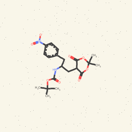 CC(C)(C)OC(=O)NC(Cc1ccc([N+](=O)[O-])cc1)CC1C(=O)OC(C)(C)OC1=O